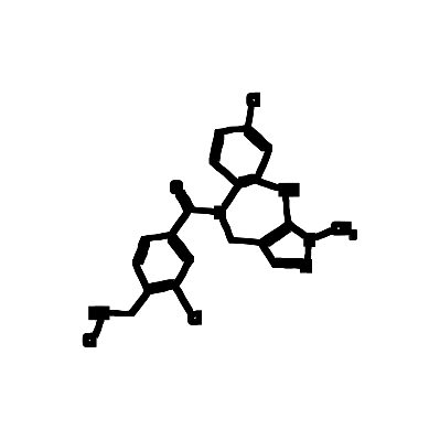 Cn1ncc2c1Nc1cc(Cl)ccc1N(C(=O)c1ccc(CNCl)c(Cl)c1)C2